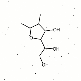 CC1OC(C(O)CO)C(O)C1C